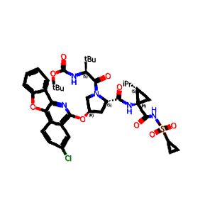 CC(C)[C@@H]1C[C@]1(NC(=O)[C@@H]1C[C@@H](Oc2nc3c4ccccc4oc3c3ccc(Cl)cc23)CN1C(=O)[C@@H](NC(=O)OC(C)(C)C)C(C)(C)C)C(=O)NS(=O)(=O)C1CC1